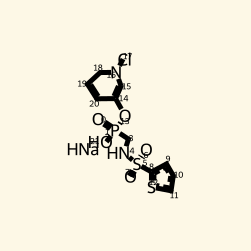 O=P(O)(CNS(=O)(=O)c1cccs1)OC1=CN(Cl)CC=C1.[NaH]